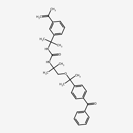 C=C(C)c1cccc(C(C)(C)NC(=O)NC(C)(C)COC(C)(C)c2ccc(C(=O)c3ccccc3)cc2)c1